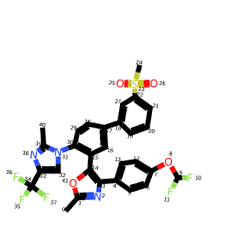 Cc1nc(-c2ccc(OC(F)F)cc2)c(-c2cc(-c3cccc(S(C)(=O)=O)c3)ccc2-n2cc(C(F)(F)F)nc2C)o1